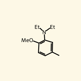 CCN(CC)c1cc(C)ccc1OC